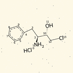 Cl.N[C@@H](Cc1ccccc1)[C@H](O)CCl